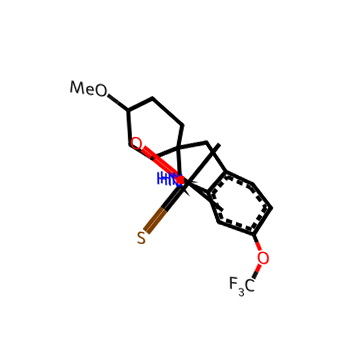 COC1CCC2(CC1)Cc1ccc(OC(F)(F)F)cc1C21NC(=S)NC1=O